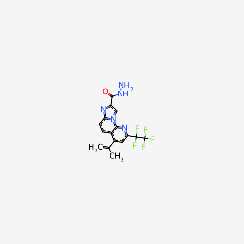 C=C(C)c1cc(C(F)(F)C(F)(F)F)nc2c1ccc1nc(C(=O)NN)cn12